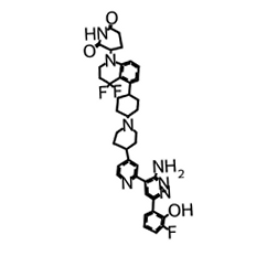 Nc1nnc(-c2cccc(F)c2O)cc1-c1cc(C2CCN(C3CCC(c4cccc5c4C(F)(F)CCN5[C@@H]4CCC(=O)NC4=O)CC3)CC2)ccn1